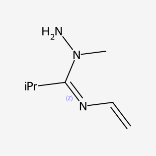 C=C/N=C(/C(C)C)N(C)N